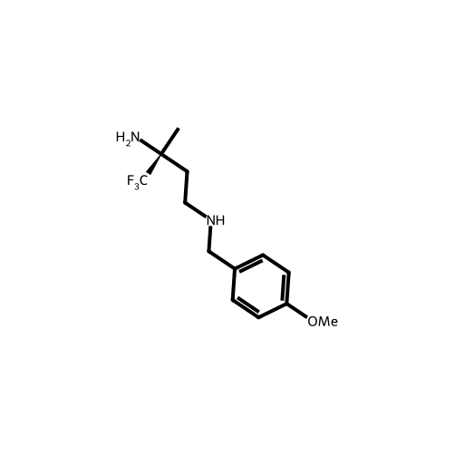 COc1ccc(CNCC[C@@](C)(N)C(F)(F)F)cc1